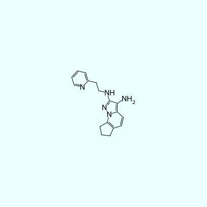 Nc1c(NCCc2ccccn2)nn2c3c(ccc12)CCC3